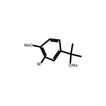 COc1ccc(C(C)(C)OC)cc1Br